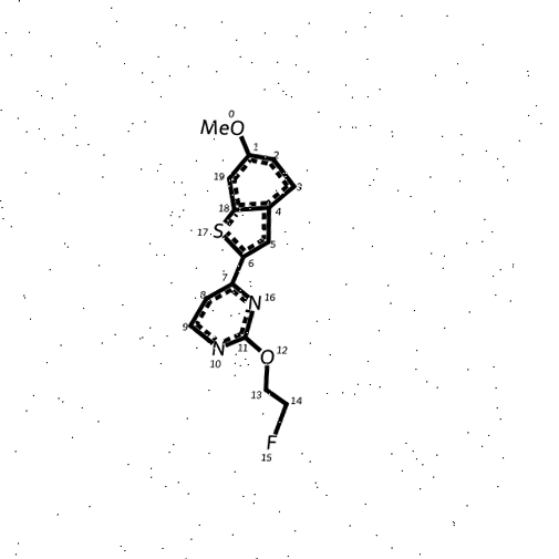 COc1ccc2cc(-c3ccnc(OCCF)n3)sc2c1